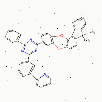 CC1(C)c2ccccc2-c2c1ccc1c2Oc2ccc(-c3nc(-c4ccccc4)nc(-c4cccc(-c5ccccn5)c4)n3)cc2O1